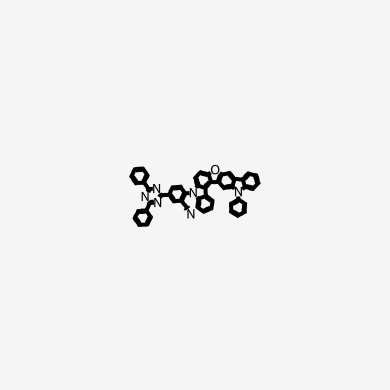 N#Cc1cc(-c2nc(-c3ccccc3)nc(-c3ccccc3)n2)ccc1-n1c2ccccc2c2c3c(ccc21)oc1cc2c4ccccc4n(-c4ccccc4)c2cc13